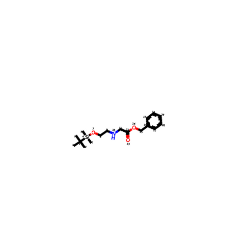 CC(C)(C)[Si](C)(C)OCCNCC(=O)OCc1ccccc1